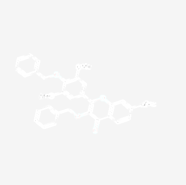 CCCCCCCCCCc1ccc2c(=O)c(OCc3ccccc3)c(-c3cc(OC)c(OCc4ccccc4)c(OC)c3)oc2c1